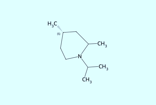 CC(C)N1CC[C@H](C)CC1C